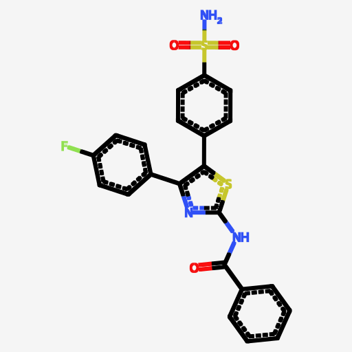 NS(=O)(=O)c1ccc(-c2sc(NC(=O)c3ccccc3)nc2-c2ccc(F)cc2)cc1